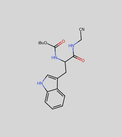 CC(C)COC(=O)NC(Cc1c[nH]c2ccccc12)C(=O)NCC#N